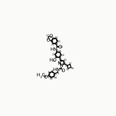 COc1ccc(CNC(=O)n2nc(-c3ccc(NC(=O)c4ccc5c(c4)OCO5)cc3O)cc2C2CCC2)cc1